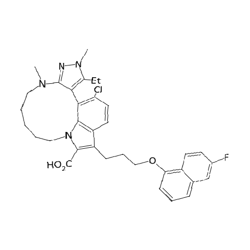 CCc1c2c(nn1C)N(C)CCCCCn1c(C(=O)O)c(CCCOc3cccc4cc(F)ccc34)c3ccc(Cl)c-2c31